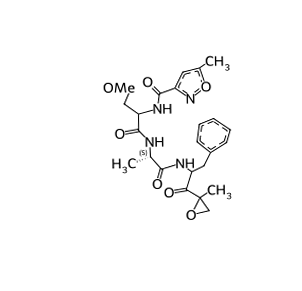 COCC(NC(=O)c1cc(C)on1)C(=O)N[C@@H](C)C(=O)NC(Cc1ccccc1)C(=O)C1(C)CO1